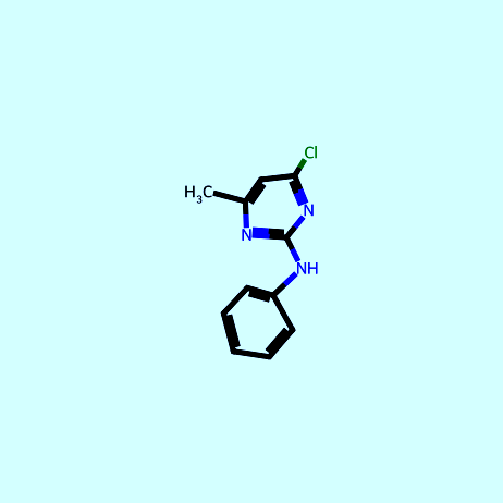 Cc1cc(Cl)nc(Nc2ccccc2)n1